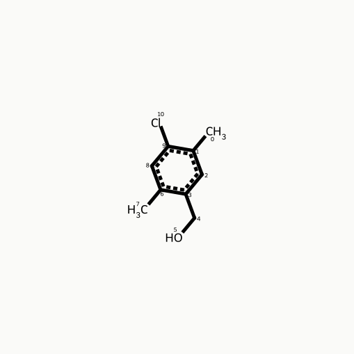 Cc1cc(CO)c(C)cc1Cl